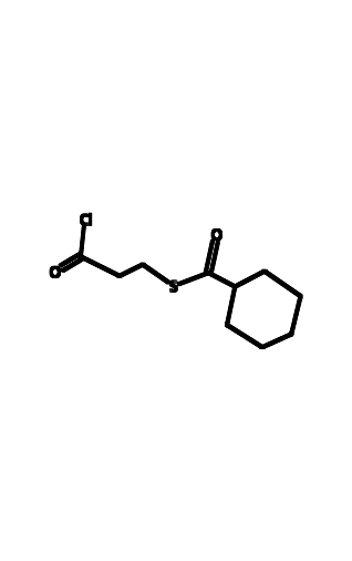 O=C(Cl)CCSC(=O)C1CCCCC1